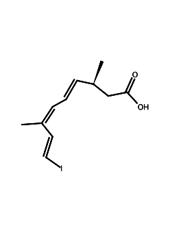 CC(=C/C=C/[C@@H](C)CC(=O)O)/C=C/I